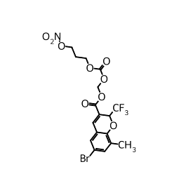 Cc1cc(Br)cc2c1OC(C(F)(F)F)C(C(=O)OCOC(=O)OCCCO[N+](=O)[O-])=C2